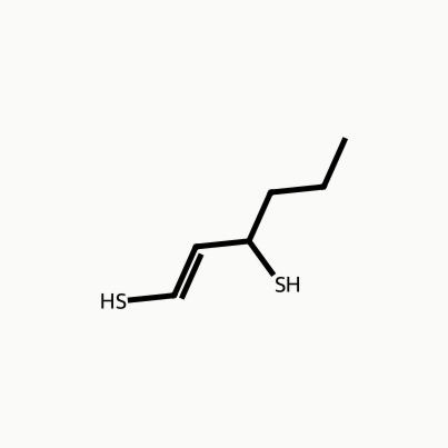 CCCC(S)C=CS